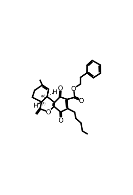 C=C1OC2=C(C(=O)C(C(=O)OCCc3ccccc3)=C(CCCCC)C2=O)[C@@H]2C=C(C)CC[C@@H]12